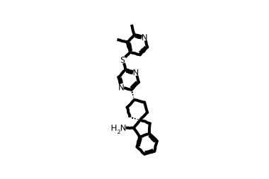 Cc1nccc(Sc2cnc([C@H]3CC[C@]4(CC3)Cc3ccccc3C4N)cn2)c1C